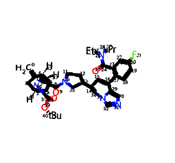 C=C1C[C@@H]2CC[C@H]1[C@H](C(=O)N1CCC(c3cc(-c4ccc(F)cc4C(=O)N(CC)C(C)C)c4cncn4c3)C1)N2C(=O)OC(C)(C)C